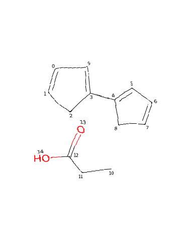 C1=CCC(C2=CC=CC2)=C1.CCC(=O)O